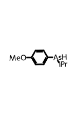 COc1ccc([AsH]C(C)C)cc1